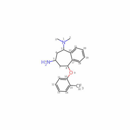 CN(C)C1CC(N)CC(Oc2ccccc2C(F)(F)F)c2ccccc21